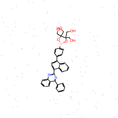 OCC1(CO)OB(c2ccc(-c3ccc(-c4nc(-c5ccccc5)c5ccccc5n4)c4ccccc34)cc2)OC1(CO)CO